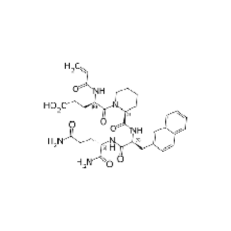 C=CC(=O)N[C@H](CCC(=O)O)C(=O)N1CCCC[C@H]1C(=O)N[C@@H](Cc1ccc2ccccc2c1)C(=O)N[C@@H](CCC(N)=O)C(N)=O